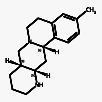 Cc1ccc2c(c1)CCN1C[C@H]3CCCN[C@H]3C[C@@H]21